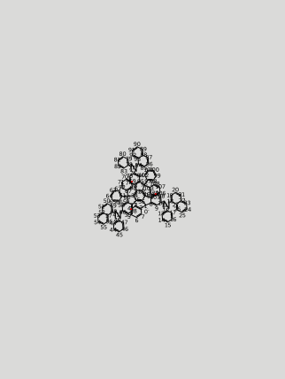 C[C@@]1(c2ccccc2)c2cc(N(c3ccccc3)c3cccc4ccccc34)ccc2-c2c3c(c4c(c21)-c1ccc(N(c2ccccc2)c2cccc5ccccc25)cc1C4(c1ccccc1)c1ccccc1)-c1ccc(N(c2ccccc2)c2cccc4ccccc24)cc1C3(c1ccccc1)c1ccccc1